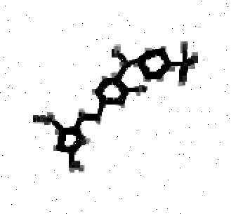 CCCc1cc(N=Nc2sc([N+](=O)[O-])cc2C(=O)OCC)ccc1N(CC)c1ccc(S(=O)(=O)F)cc1